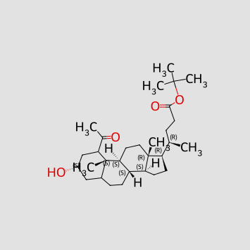 CC(=O)C1C[C@@H](O)CC2CC[C@@H]3[C@H](CC[C@]4(C)[C@@H]([C@H](C)CCC(=O)OC(C)(C)C)CC[C@@H]34)[C@]21C